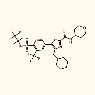 CC(C)(NS(=O)(=O)c1ccc(-c2sc(C(=O)NC3CCOCC3)nc2CC2CCCCC2)cc1C(F)(F)F)C(F)(F)F